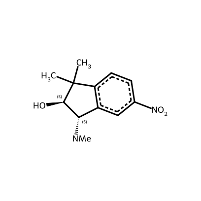 CN[C@H]1c2cc([N+](=O)[O-])ccc2C(C)(C)[C@@H]1O